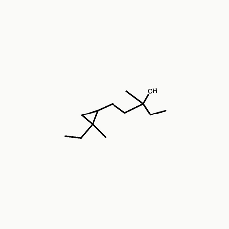 CCC(C)(O)CCC1CC1(C)CC